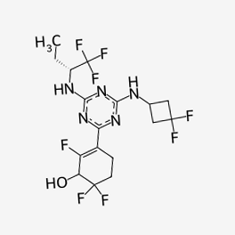 CC[C@@H](Nc1nc(NC2CC(F)(F)C2)nc(C2=C(F)C(O)C(F)(F)CC2)n1)C(F)(F)F